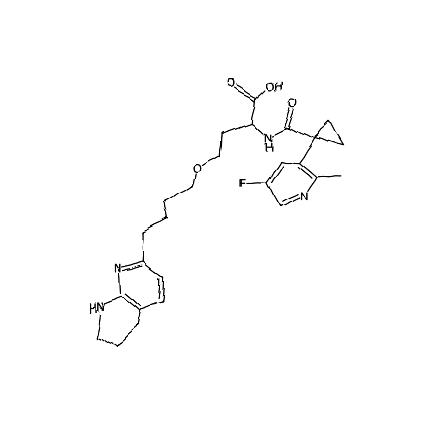 Cc1ncc(F)cc1C1(C(=O)NC(CCOCCCCc2ccc3c(n2)NCCC3)C(=O)O)CC1